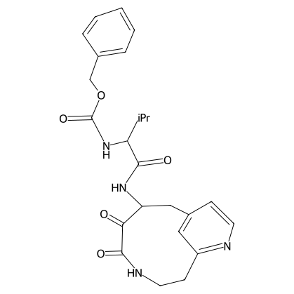 CC(C)C(NC(=O)OCc1ccccc1)C(=O)NC1Cc2ccnc(c2)CCNC(=O)C1=O